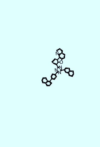 C1=CC2c3c(ccc4cccnc34)OC2C(c2nc(-c3ccc(-c4cccc5ccccc45)cc3)nc(-c3ccc4ccccc4c3)n2)=C1